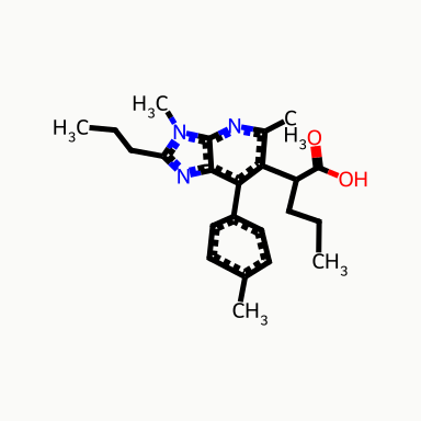 CCCc1nc2c(-c3ccc(C)cc3)c(C(CCC)C(=O)O)c(C)nc2n1C